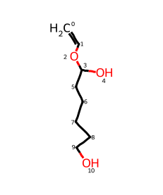 C=COC(O)CCCCCO